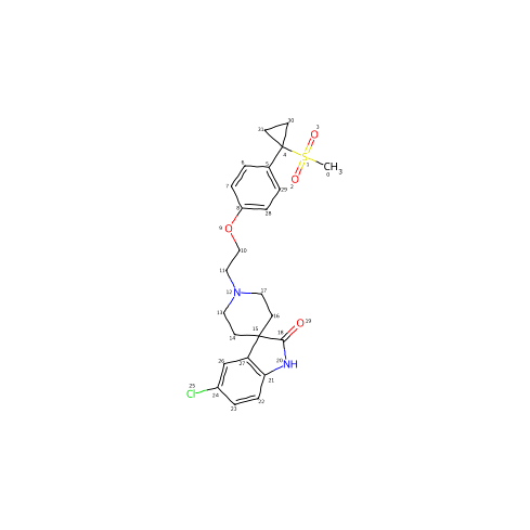 CS(=O)(=O)C1(c2ccc(OCCN3CCC4(CC3)C(=O)Nc3ccc(Cl)cc34)cc2)CC1